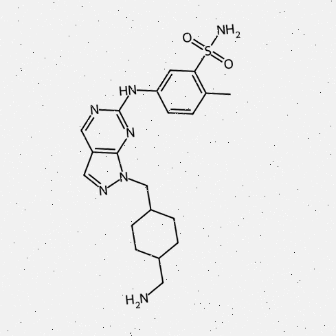 Cc1ccc(Nc2ncc3cnn(CC4CCC(CN)CC4)c3n2)cc1S(N)(=O)=O